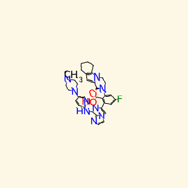 CN1CCN(c2ccc(Nc3nc(-c4cc(F)cc(N5CCn6c(cc7c6CCCC7)C5=O)c4CO)cn4ccnc34)nc2)CC1